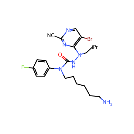 CC(C)CN(NC(=O)N(CCCCCCN)c1ccc(F)cc1)c1nc(C#N)ncc1Br